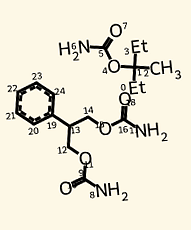 CCC(C)(CC)OC(N)=O.NC(=O)OCC(COC(N)=O)c1ccccc1